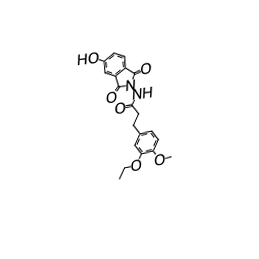 CCOc1cc(CCC(=O)NN2C(=O)c3ccc(O)cc3C2=O)ccc1OC